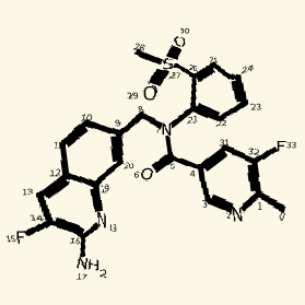 Cc1ncc(C(=O)N(Cc2ccc3cc(F)c(N)nc3c2)c2ccccc2S(C)(=O)=O)cc1F